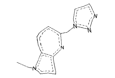 Cn1ccc2nc(-n3ccnn3)ccc21